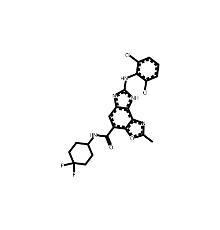 Cc1nc2c(o1)c(C(=O)NC1CCC(F)(F)CC1)cc1nc(Nc3c(Cl)cccc3Cl)[nH]c12